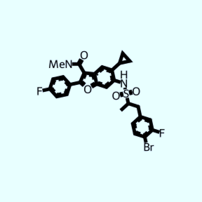 CNC(=O)c1c(-c2ccc(F)cc2)oc2cc(NS(=O)(=O)C(C)Cc3ccc(Br)c(F)c3)c(C3CC3)cc12